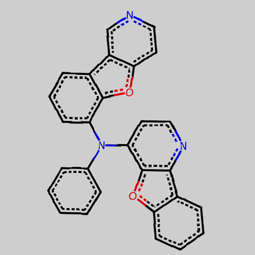 c1ccc(N(c2cccc3c2oc2ccncc23)c2ccnc3c2oc2ccccc23)cc1